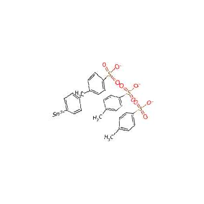 Cc1ccc(S(=O)(=O)[O-])cc1.Cc1ccc(S(=O)(=O)[O-])cc1.Cc1ccc(S(=O)(=O)[O-])cc1.[Sn+3][c]1ccccc1